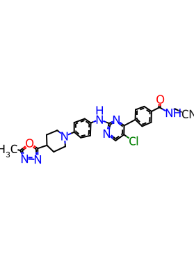 Cc1nnc(C2CCN(c3ccc(Nc4ncc(Cl)c(-c5ccc(C(=O)NCC#N)cc5)n4)cc3)CC2)o1